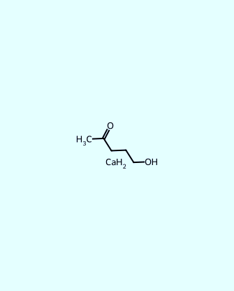 CC(=O)CCCO.[CaH2]